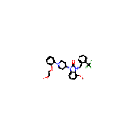 COc1cccc2c1n(Cc1ccccc1C(F)(F)F)c(=O)n2C1CCN(c2ccccc2OCCO)CC1